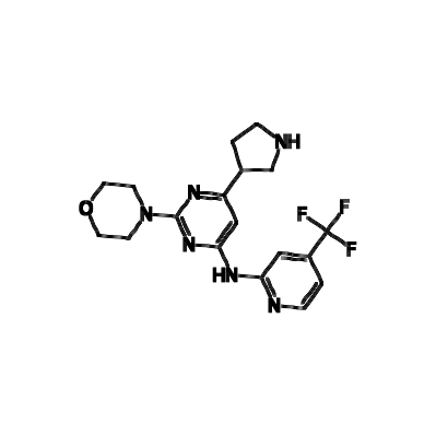 FC(F)(F)c1ccnc(Nc2cc(C3CCNC3)nc(N3CCOCC3)n2)c1